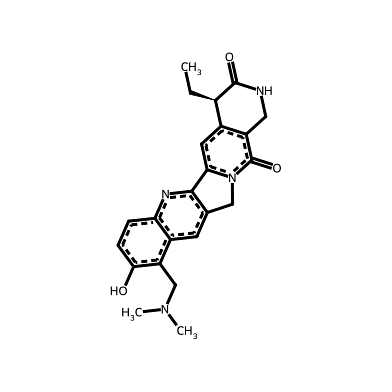 CC[C@H]1C(=O)NCc2c1cc1n(c2=O)Cc2cc3c(CN(C)C)c(O)ccc3nc2-1